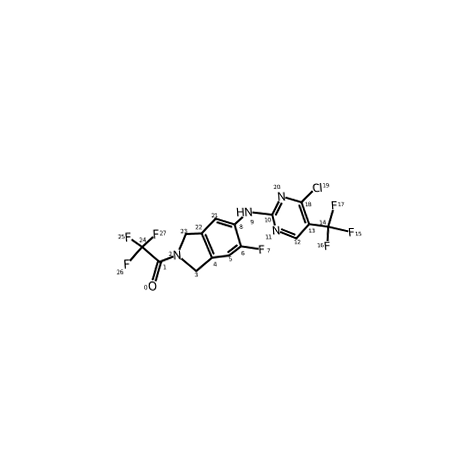 O=C(N1Cc2cc(F)c(Nc3ncc(C(F)(F)F)c(Cl)n3)cc2C1)C(F)(F)F